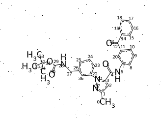 Cc1cc(C(=O)Nc2cccc(C(=O)c3ccccc3)c2)n(-c2cccc(CNC(=O)OC(C)(C)C)c2)n1